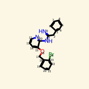 N=C(Cc1ccccc1)Nc1ncccc1OCc1ccccc1Br